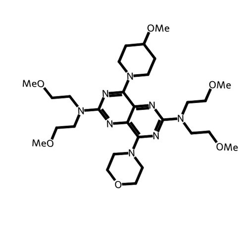 COCCN(CCOC)c1nc(N2CCC(OC)CC2)c2nc(N(CCOC)CCOC)nc(N3CCOCC3)c2n1